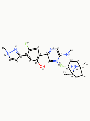 CN(c1cnc(-c2cc(F)c(-c3ccn(C)n3)cc2O)cn1)[C@@H]1C[C@@]2(C)CC[C@](C)(N2)[C@@H]1F